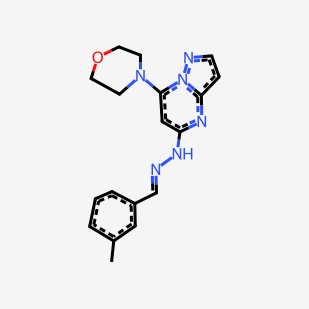 Cc1cccc(/C=N/Nc2cc(N3CCOCC3)n3nccc3n2)c1